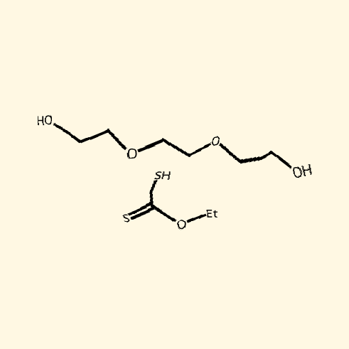 CCOC(=S)S.OCCOCCOCCO